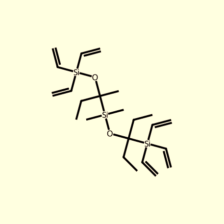 C=C[Si](C=C)(C=C)OC(C)(CC)[Si](C)(C)OC(CC)(CC)[Si](C=C)(C=C)C=C